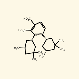 C[C@@H]1C[C@@H](c2ccc(C(=O)O)c(C(=O)O)c2[C@@H]2C[C@@H](C)CC(C)(C)C2)CC(C)(C)C1